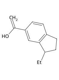 C=C(O)c1ccc2c(c1)C(CC)CC2